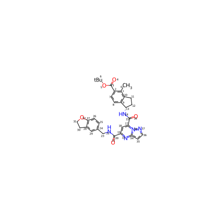 Cc1c(C(=O)OC(C)(C)C)ccc2c1CC[C@@H]2NC(=O)c1cc(C(=O)NCc2ccc3c(c2)CCO3)nc2ccnn12